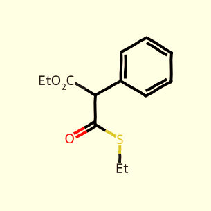 CCOC(=O)C(C(=O)SCC)c1ccccc1